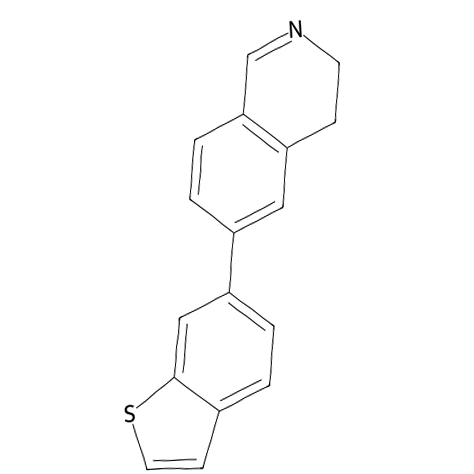 C1=NCCc2cc(-c3ccc4ccsc4c3)ccc21